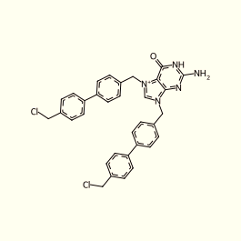 Nc1nc2c(c(=O)[nH]1)[n+](Cc1ccc(-c3ccc(CCl)cc3)cc1)cn2Cc1ccc(-c2ccc(CCl)cc2)cc1